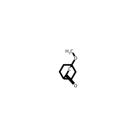 COC12CCC(CC1)C(=O)C2